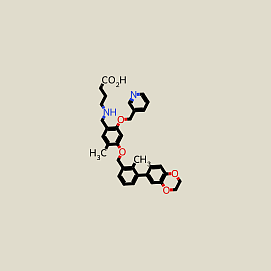 Cc1cc(CNCCCC(=O)O)c(OCc2cccnc2)cc1OCc1cccc(-c2ccc3c(c2)OCCO3)c1C